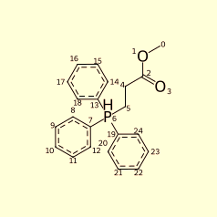 COC(=O)CC[PH](c1ccccc1)(c1ccccc1)c1ccccc1